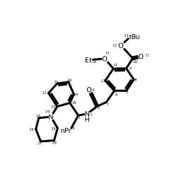 CCCC(NC(=O)Cc1ccc(C(=O)OC(C)(C)C)c(OCC)c1)c1ccccc1N1CCCCC1